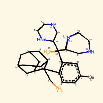 CC(C)(C)c1ccc(C2(CP)C3CC4CC(C3)CC2C4)c(C(P)(C2CNCCN2)C2CNCCN2)c1